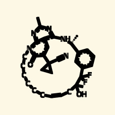 Cc1nc2c3cc(C4(C#N)CC4)c(=O)n(c3n1)CCCCCC/C=C\CC(C)(O)C(F)(F)c1cccc(c1)[C@@H](C)N2